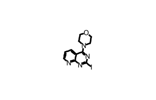 Ic1nc(N2CCOCC2)c2cccnc2n1